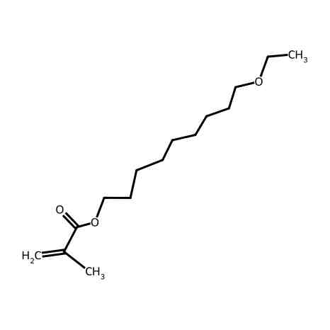 C=C(C)C(=O)OCCCCCCCCCOCC